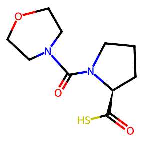 O=C(S)[C@@H]1CCCN1C(=O)N1CCOCC1